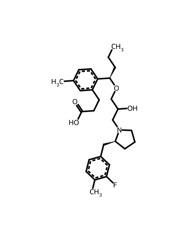 CCC[C@@H](OCC(O)CN1CCC[C@H]1Cc1ccc(C)c(F)c1)c1ccc(C)cc1CCC(=O)O